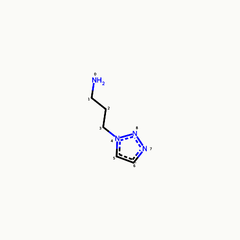 NCCCn1c[c]nn1